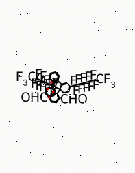 O=Cc1ccc(C=O)c(C2(C(F)(F)C(F)(F)C(F)(F)C(F)(F)C(F)(F)C(F)(F)F)CC=C(C(F)(F)C(F)(F)C(F)(F)C(F)(F)C(F)(F)C(F)(F)F)C=C2c2ccccc2-c2ccccc2)c1